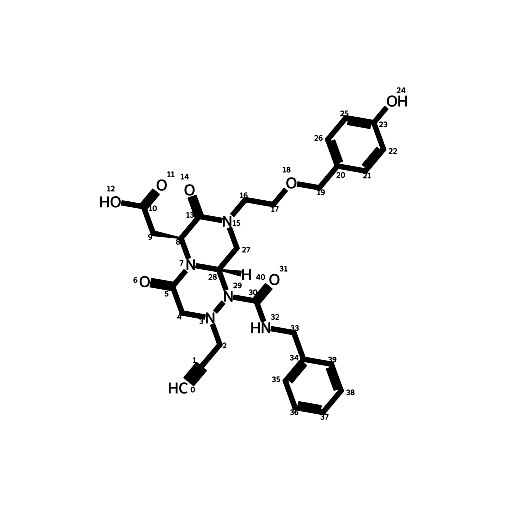 C#CCN1CC(=O)N2[C@@H](CC(=O)O)C(=O)N(CCOCc3ccc(O)cc3)C[C@@H]2N1C(=O)NCc1ccccc1